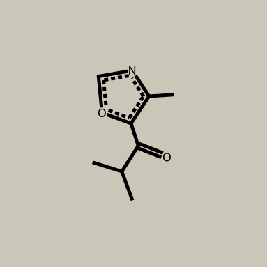 Cc1ncoc1C(=O)C(C)C